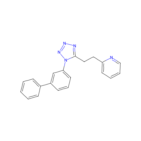 c1ccc(-c2cccc(-n3nnnc3CCc3ccccn3)c2)cc1